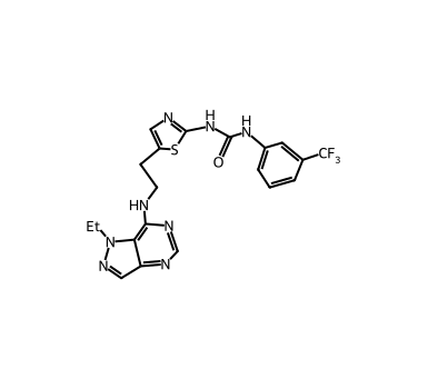 CCn1ncc2ncnc(NCCc3cnc(NC(=O)Nc4cccc(C(F)(F)F)c4)s3)c21